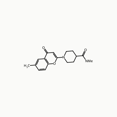 CNC(=O)C1CCN(c2cc(=O)c3cc(C)ccc3o2)CC1